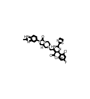 COC(=O)C1=C(CN2CCN3C(=O)N(c4ccc5[nH]c(C)nc5c4)C[C@@H]3C2)NC(c2nccs2)=NC1c1ccc(F)cc1Cl